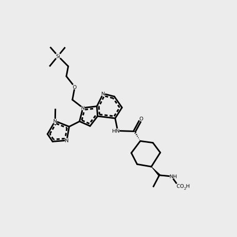 CC(NC(=O)O)[C@H]1CC[C@H](C(=O)Nc2ccnc3c2cc(-c2nccn2C)n3COCC[Si](C)(C)C)CC1